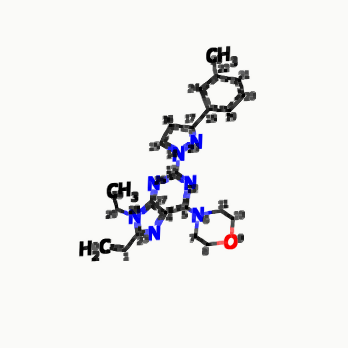 C=Cc1nc2c(N3CCOCC3)nc(-n3ccc(-c4cccc(C)c4)n3)nc2n1CC